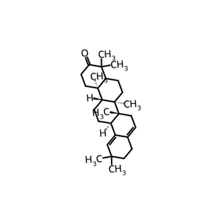 CC1(C)C=C2C(=CC[C@]3(C)[C@@H]2CC[C@@H]2[C@@]4(C)CCC(=O)C(C)(C)C4CC[C@]23C)CC1